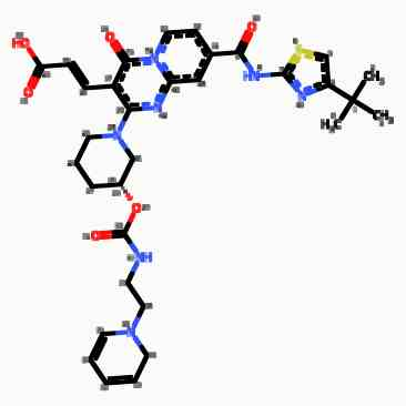 CC(C)(C)c1csc(NC(=O)c2ccn3c(=O)c(C=CC(=O)O)c(N4CCC[C@@H](OC(=O)NCCN5C=CC=CC5)C4)nc3c2)n1